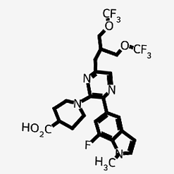 Cn1ccc2cc(-c3ncc(CC(COC(F)(F)F)COC(F)(F)F)nc3N3CCC(C(=O)O)CC3)cc(F)c21